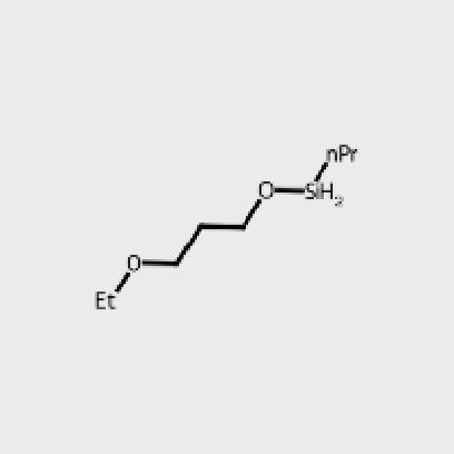 CCC[SiH2]OCCCOCC